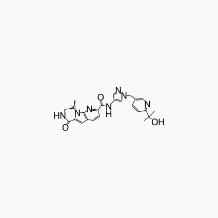 C[C@@H]1CNC(=O)c2cc3ccc(C(=O)Nc4cnn(Cc5ccc(C(C)(C)O)nc5)c4)nc3n21